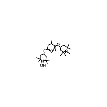 CC(CC(=O)OC1CC(C)(C)N(O)C(C)(C)C1)C(=O)OC1CC(C)(C)N(C)C(C)(C)C1